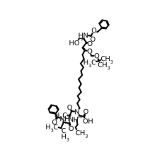 CCCC[C@@H](C(=O)O)N(CCCCCCCCCCCCCCC(=CC(=O)[C@@H](CO)NC(=O)OCc1ccccc1)OCOC(C)(C)C)C(=O)[C@H](C)NC(=O)[C@@H](NC(=O)c1ccccc1)C(C)C